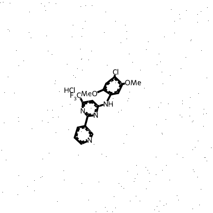 COc1cc(Nc2cc(C(F)(F)F)nc(-c3cccnc3)n2)c(OC)cc1Cl.Cl